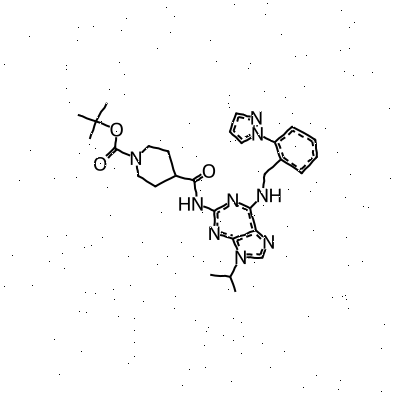 CC(C)n1cnc2c(NCc3ccccc3-n3cccn3)nc(NC(=O)C3CCN(C(=O)OC(C)(C)C)CC3)nc21